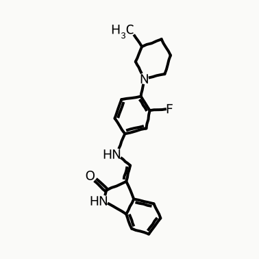 CC1CCCN(c2ccc(NC=C3C(=O)Nc4ccccc43)cc2F)C1